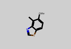 COc1ccc2s[c]nc2c1C